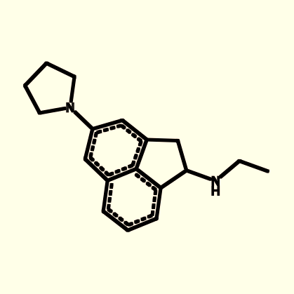 CCNC1Cc2cc(N3CCCC3)cc3cccc1c23